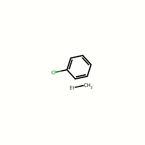 Clc1ccccc1.[CH2]CC